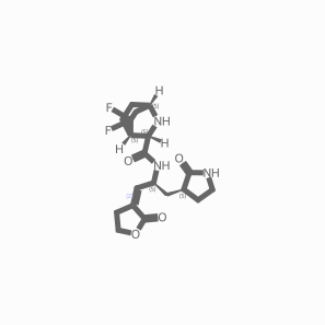 O=C1OCC/C1=C/[C@H](C[C@@H]1CCNC1=O)NC(=O)[C@H]1N[C@H]2CC[C@@H]1C(F)(F)C2